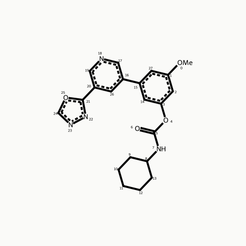 COc1cc(OC(=O)NC2CCCCC2)cc(-c2cncc(-c3nnco3)c2)c1